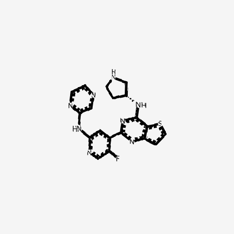 Fc1cnc(Nc2cnccn2)cc1-c1nc(N[C@@H]2CCNC2)c2sccc2n1